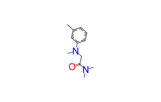 Cc1cccc(N(C)CC(=O)N(C)C)c1